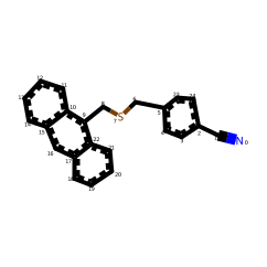 N#Cc1ccc(CSCc2c3ccccc3cc3ccccc23)cc1